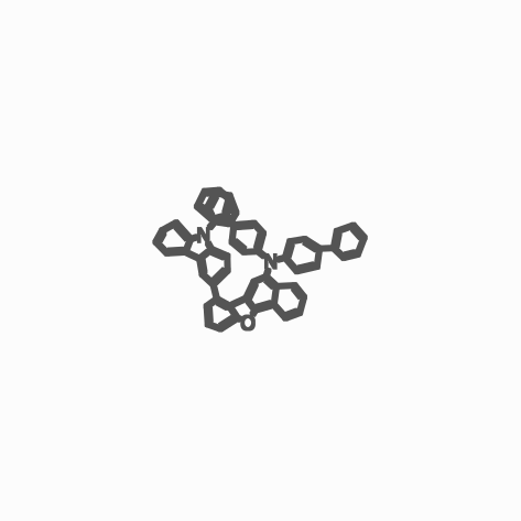 c1ccc(-c2ccc(N(c3ccc(-c4ccccc4)cc3)c3cc4c(oc5cccc(-c6ccc7c(c6)c6ccccc6n7-c6ccccc6)c54)c4ccccc34)cc2)cc1